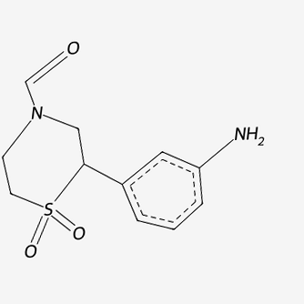 Nc1cccc(C2CN(C=O)CCS2(=O)=O)c1